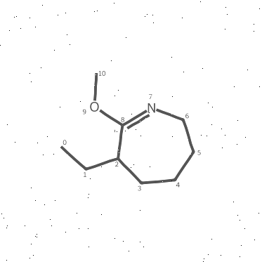 CCC1CCCCN=C1OC